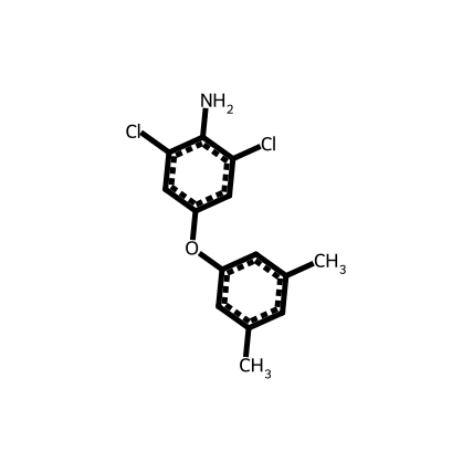 Cc1cc(C)cc(Oc2cc(Cl)c(N)c(Cl)c2)c1